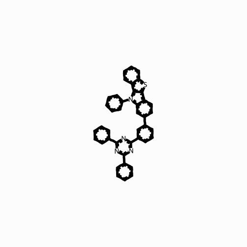 c1ccc(-c2nc(-c3ccccc3)nc(-c3cccc(-c4ccc5c6sc7ccccc7c6n(-c6ccccc6)c5c4)c3)n2)cc1